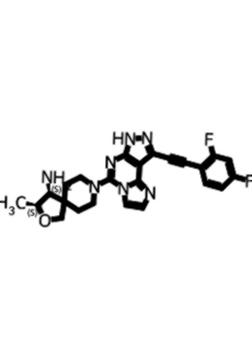 C[C@@H]1OCC2(CCN(c3nc4[nH]nc(C#Cc5ccc(F)cc5F)c4c4nccn34)CC2)[C@@H]1N